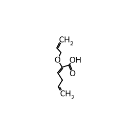 C=CC/C=C(/OCC=C)C(=O)O